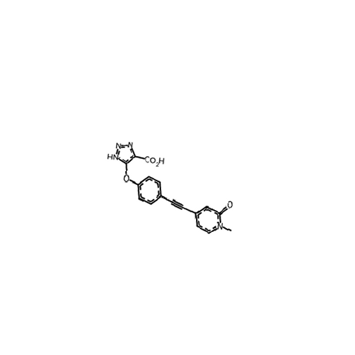 Cn1ccc(C#Cc2ccc(Oc3[nH]nnc3C(=O)O)cc2)cc1=O